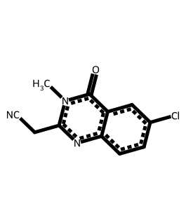 Cn1c(CC#N)nc2ccc(Cl)cc2c1=O